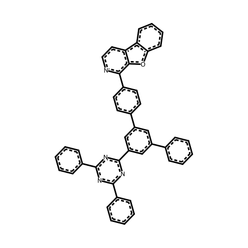 c1ccc(-c2cc(-c3ccc(-c4nccc5c4oc4ccccc45)cc3)cc(-c3nc(-c4ccccc4)nc(-c4ccccc4)n3)c2)cc1